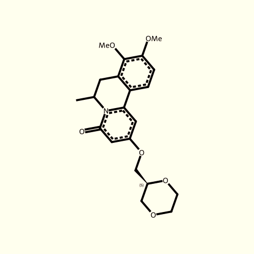 COc1ccc2c(c1OC)CC(C)n1c-2cc(OC[C@@H]2COCCO2)cc1=O